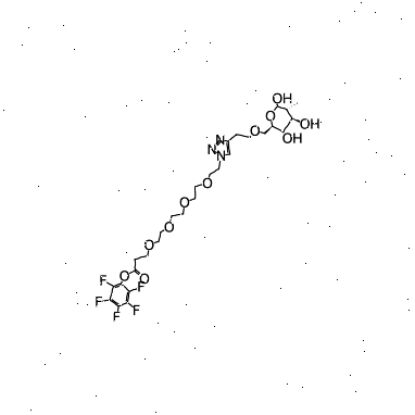 C[C@@H]1[C@@H](O)[C@@H](O)[C@@H](COCCc2cn(CCOCCOCCOCCOCCC(=O)Oc3c(F)c(F)c(F)c(F)c3F)nn2)O[C@H]1O